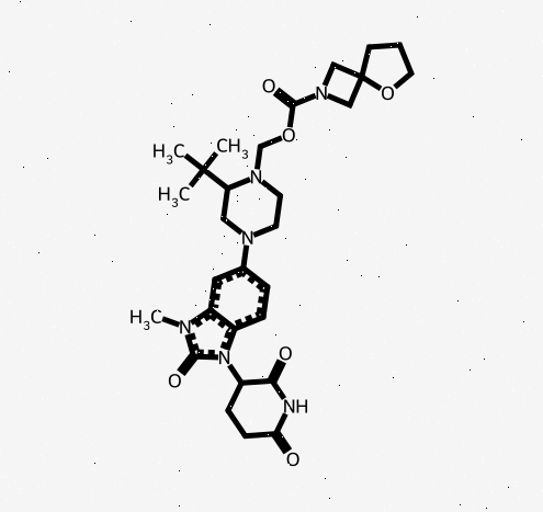 Cn1c(=O)n(C2CCC(=O)NC2=O)c2ccc(N3CCN(COC(=O)N4CC5(CCCO5)C4)C(C(C)(C)C)C3)cc21